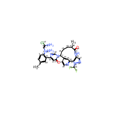 Cc1ccc(N(N)/C=C(\N)Cl)c(-c2cc(=O)n(C3CCCC(C)C(=O)Nc4cnn(C(F)F)c4-c4cc3ccn4)cn2)c1